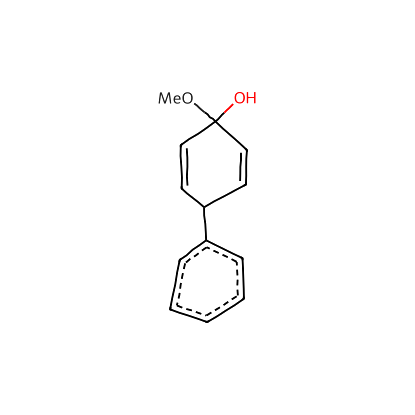 COC1(O)C=CC(c2ccccc2)C=C1